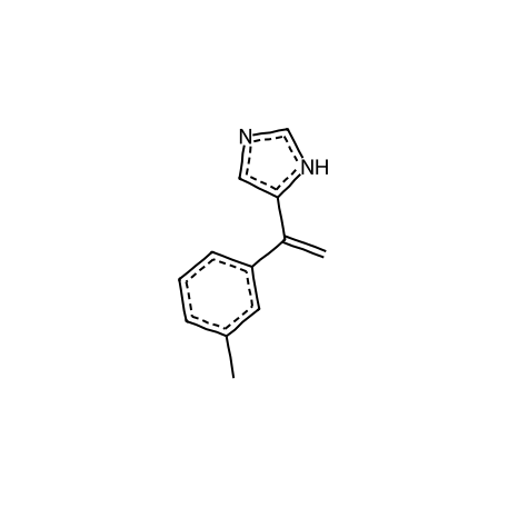 C=C(c1cccc(C)c1)c1cnc[nH]1